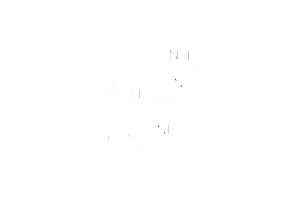 CCOC(=O)C[C@H](N)c1ccc(N)nc1.Cl.Cl